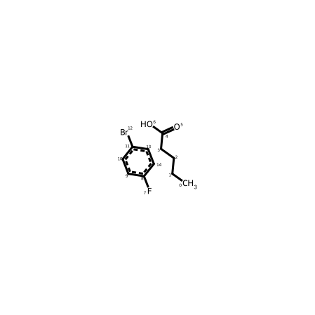 CCCCC(=O)O.Fc1ccc(Br)cc1